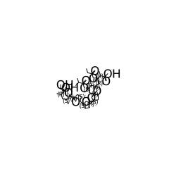 CCC(=O)O[C@H]([C@H](C)[C@H]1O[C@@]2(CC[C@@](C)([C@H]3CC[C@@](C)(C4O[C@@H]([C@H]5O[C@@](O)(CO)[C@H](C)C[C@@H]5C)C[C@@H]4C)O3)O2)C[C@H](OC(=O)C(C)C)[C@H]1C)[C@@H](C)C(=O)O